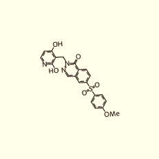 COc1ccc(S(=O)(=O)c2ccc3c(=O)n(Cc4c(O)ccnc4O)ncc3c2)cc1